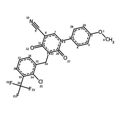 COc1ccc(-n2cc(C#N)c(=O)n(Cc3cccc(C(F)(F)F)c3Cl)c2=O)cc1